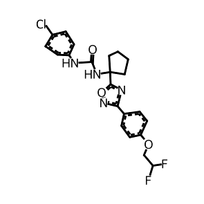 O=C(Nc1ccc(Cl)cc1)NC1(c2nc(-c3ccc(OCC(F)F)cc3)no2)CCCC1